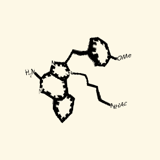 COc1ccc(Cc2nc3c(N)nc4ccccc4c3n2CCCCNC(C)=O)cc1